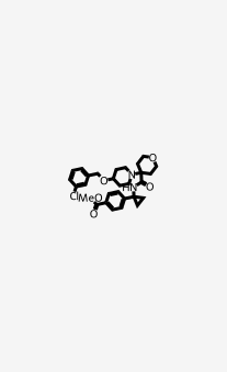 COC(=O)c1ccc(C2(NC(=O)C3(N4CCC(OCc5cccc(Cl)c5)CC4)CCOCC3)CC2)cc1